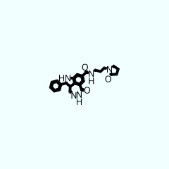 O=C(NCCCN1CCCC1=O)c1cc2c3c(c1)C(=O)NN=CC3C(c1ccccc1)N2